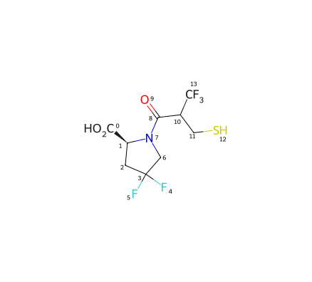 O=C(O)[C@@H]1CC(F)(F)CN1C(=O)C(CS)C(F)(F)F